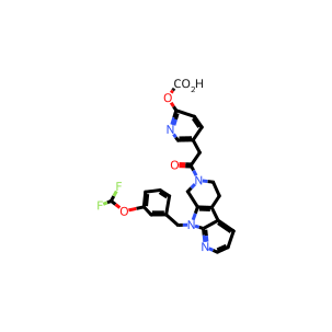 O=C(O)Oc1ccc(CC(=O)N2CCc3c(n(Cc4cccc(OC(F)F)c4)c4ncccc34)C2)cn1